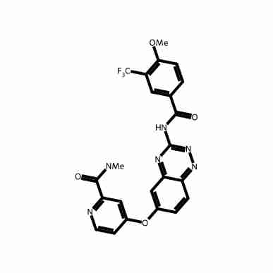 CNC(=O)c1cc(Oc2ccc3nnc(NC(=O)c4ccc(OC)c(C(F)(F)F)c4)nc3c2)ccn1